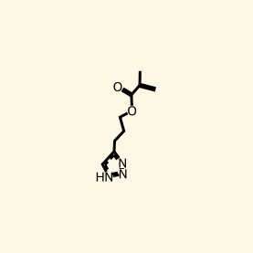 C=C(C)C(=O)OCCCc1c[nH]nn1